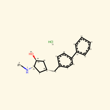 CC(C)N[C@H]1C[C@@H](Cc2ccc(-c3ccccc3)cc2)C[C@@H]1O.Cl